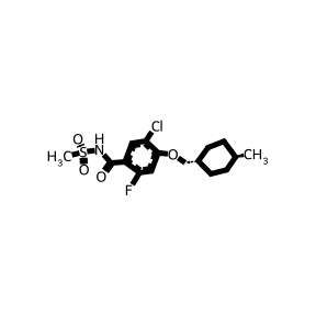 CS(=O)(=O)NC(=O)c1cc(Cl)c(OC[C@H]2CC[C@H](C)CC2)cc1F